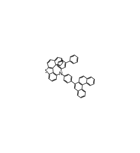 c1ccc(-c2cccc(N(c3ccc(-c4cc5ccccc5c5c4ccc4ccccc45)cc3)c3cccc4sc5ccc6ccccc6c5c34)c2)cc1